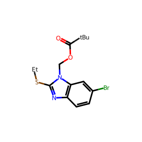 CCSc1nc2ccc(Br)cc2n1COC(=O)C(C)(C)C